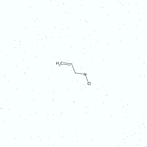 C=CC[N]Cl